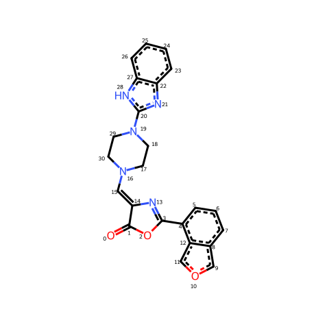 O=C1OC(c2cccc3cocc23)=NC1=CN1CCN(c2nc3ccccc3[nH]2)CC1